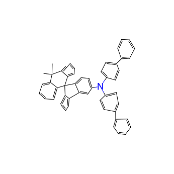 CC1(C)c2ccccc2C2(c3ccccc3-c3cc(N(c4ccc(-c5ccccc5)cc4)c4ccc(-c5ccccc5)cc4)ccc32)c2ccccc21